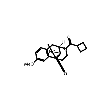 COc1ccc2c(c1)[C@]13CCN(C(=O)C4CCC4)[C@H](C2)[C@]1(O)CCC(=O)C3